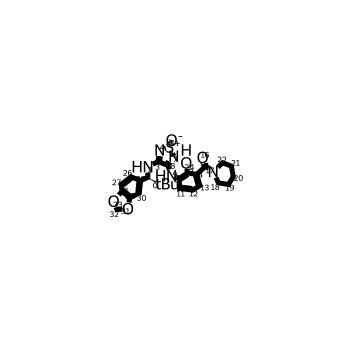 CC(C)(C)[C@@H](Nc1n[s+]([O-])nc1Nc1cccc(C(=O)N2CCCCC2)c1O)c1ccc2c(c1)OCO2